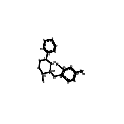 C[C@H]1CCC(c2ccccc2)SN1Cc1ccc(Br)cc1F